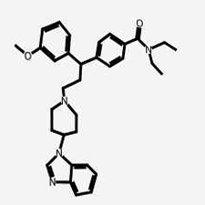 CCN(CC)C(=O)c1ccc(C(CCN2CCC(n3cnc4ccccc43)CC2)c2cccc(OC)c2)cc1